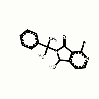 CC(C)(c1ccccc1)N1C(=O)c2c(ccnc2Br)C1O